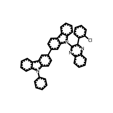 Clc1ccccc1-c1nc2ccccc2nc1-n1c2ccccc2c2ccc(-c3ccc4c(c3)c3ccccc3n4-c3ccccc3)cc21